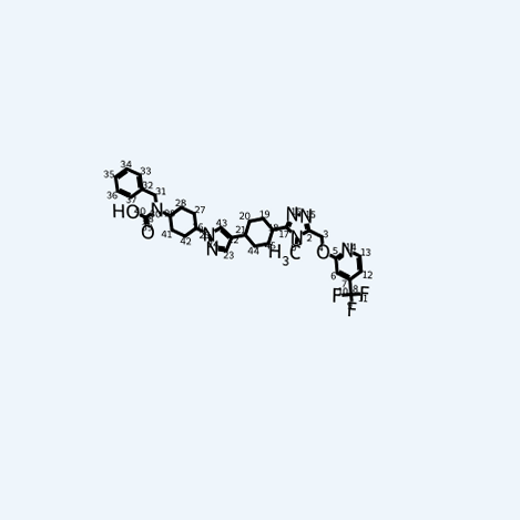 Cn1c(COc2cc(C(F)(F)F)ccn2)nnc1C1CCC(c2cnn(C3CCC(N(Cc4ccccc4)C(=O)O)CC3)c2)CC1